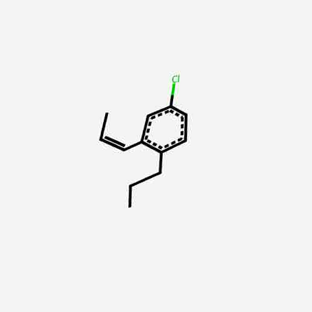 C/C=C\c1cc(Cl)ccc1CCC